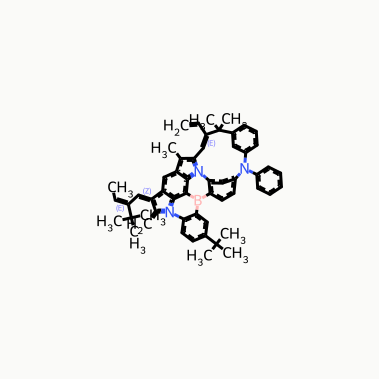 C=C/C1=C\c2c(C)c3cc4/c(=C/C(=C\C)C(C)(C)C)c(=C)n5c4c4c3n2-c2cc(ccc2B4c2cc(C(C)(C)C)ccc2-5)N(c2ccccc2)c2cccc(c2)C1(C)C